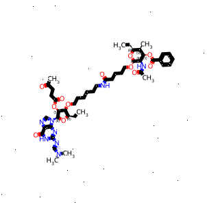 CC[C@H]1O[C@@H](n2cnc3c(=O)[nH]c(/N=C/N(C)C)nc32)[C@@H](OC(=O)CCC(C)=O)C1OCCCCCCNC(=O)CCCCO[C@@H]1O[C@H](CC)[C@H](C)[C@H](OC(=O)c2ccccc2)[C@H]1NC(C)=O